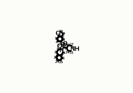 O=S(=O)(c1ccc2c(c1)CCO2)C(C1CCNCC1)N1CCc2ccccc2C1